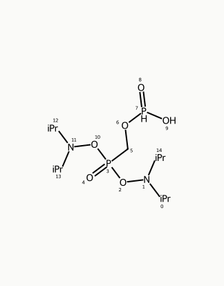 CC(C)N(OP(=O)(CO[PH](=O)O)ON(C(C)C)C(C)C)C(C)C